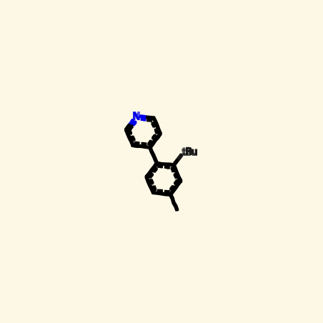 Cc1ccc(-c2ccncc2)c(C(C)(C)C)c1